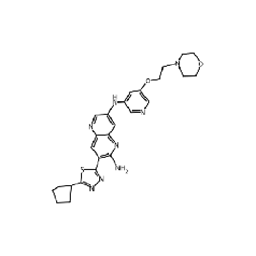 Nc1nc2cc(Nc3cncc(OCCN4CCOCC4)c3)cnc2cc1-c1nnc(C2CCCC2)s1